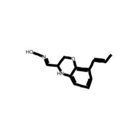 CC=Cc1cccc2c1OCC(C=NO)N2